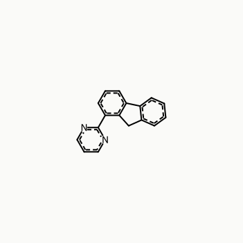 c1cnc(-c2cccc3c2Cc2ccccc2-3)nc1